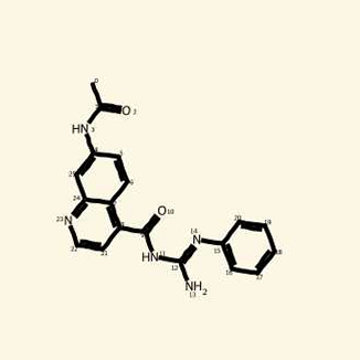 CC(=O)Nc1ccc2c(C(=O)NC(N)=Nc3ccccc3)ccnc2c1